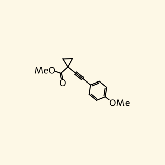 COC(=O)C1(C#Cc2ccc(OC)cc2)CC1